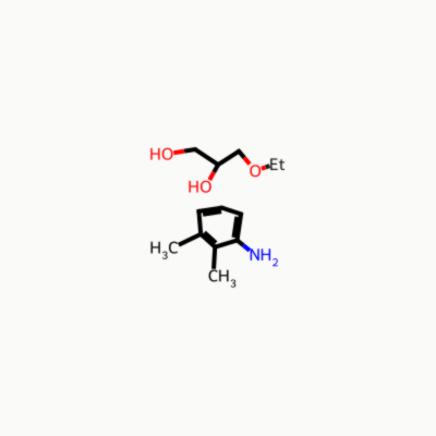 CCOCC(O)CO.Cc1cccc(N)c1C